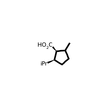 CC(C)[C@@H]1CCC(C)[C@@H]1C(=O)O